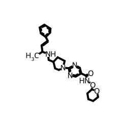 CC(/C=C/c1ccccc1)NCC1CCN(c2ncc(C(=O)NOC3CCCCO3)cn2)CC1